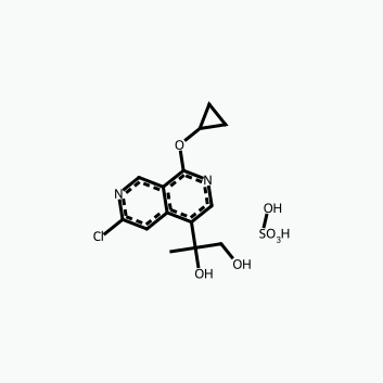 CC(O)(CO)c1cnc(OC2CC2)c2cnc(Cl)cc12.O=S(=O)(O)O